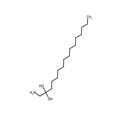 CCCCCCCCCCCCCCC(O)(O)CN